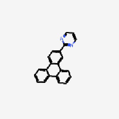 c1cnc(-c2ccc3c4ccccc4c4ccccc4c3c2)nc1